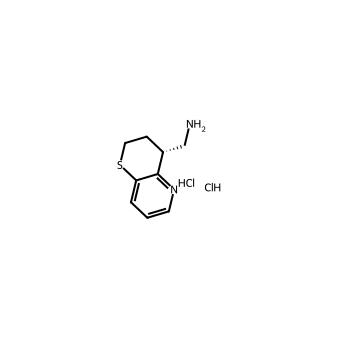 Cl.Cl.NC[C@H]1CCSc2cccnc21